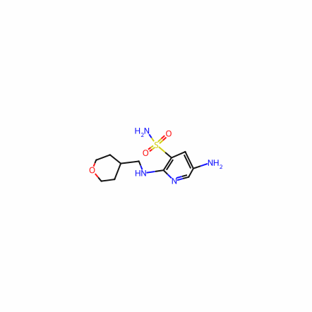 Nc1cnc(NCC2CCOCC2)c(S(N)(=O)=O)c1